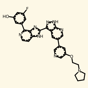 Oc1cc(F)cc(-c2nccc3[nH]c(-c4n[nH]c5ncc(-c6cncc(OCCN7CCCC7)c6)cc45)nc23)c1